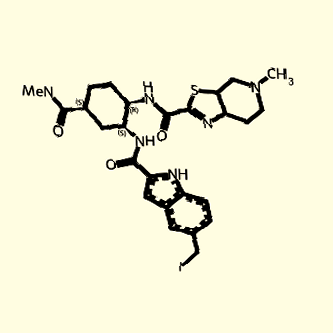 CNC(=O)[C@H]1CC[C@@H](NC(=O)C2=NC3CCN(C)CC3S2)[C@@H](NC(=O)c2cc3cc(CI)ccc3[nH]2)C1